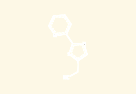 N#CCc1cnc(-c2ccccn2)s1